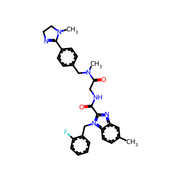 Cc1ccc2c(c1)nc(C(=O)NCC(=O)N(C)Cc1ccc(C3=NCCN3C)cc1)n2Cc1ccccc1F